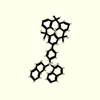 CC1(C)c2cccc3c2N2c4c1cccc4C(C)(C)c1cc(-c4ccc(N(c5ccc6ccccc6c5)c5cccc6ccccc56)cc4)cc(c12)C3(C)C